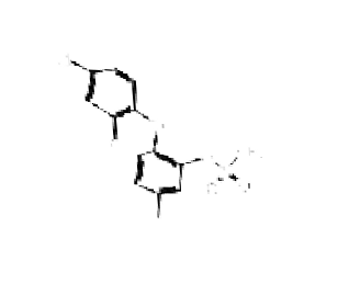 O=S(=O)(Oc1cc(Cl)ccc1Oc1ccc(Cl)cc1Cl)C(F)(F)F